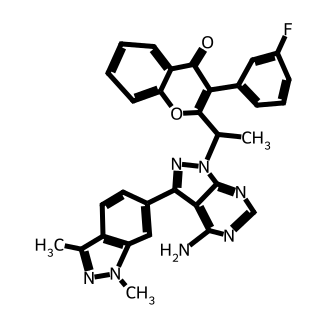 Cc1nn(C)c2cc(-c3nn(C(C)c4oc5ccccc5c(=O)c4-c4cccc(F)c4)c4ncnc(N)c34)ccc12